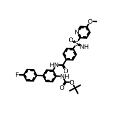 COc1ccc(S(=N)(=O)c2ccc(C(=O)Nc3cc(-c4ccc(F)cc4)ccc3NC(=O)OC(C)(C)C)cc2)nc1